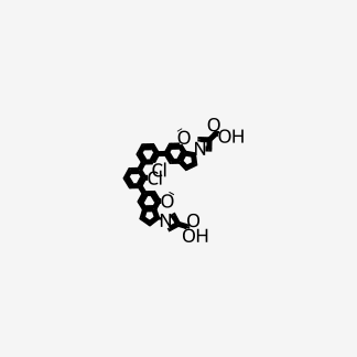 COc1cc(-c2cccc(-c3cccc(-c4cc5c(c(OC)c4)[C@@H](N4CC(C(=O)O)C4)CC5)c3Cl)c2Cl)cc2c1[C@@H](N1CC(C(=O)O)C1)CC2